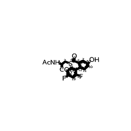 CC(=O)NC(CSC(=O)c1cc(O)ccc1-c1ccc(F)cc1F)C(=O)O